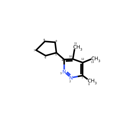 Cc1nnc(C2CCCC2)c(C)c1C